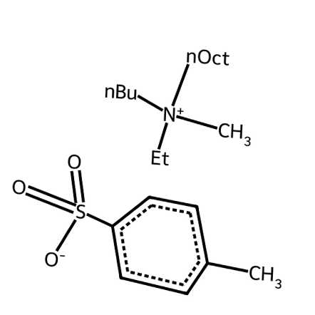 CCCCCCCC[N+](C)(CC)CCCC.Cc1ccc(S(=O)(=O)[O-])cc1